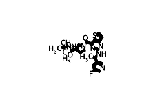 CC(Nc1nc(C(=O)N2CCC(C(=O)NC(C)(C)C)C2)c2sccc2n1)c1cncc(F)c1